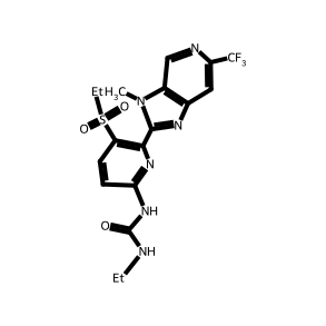 CCNC(=O)Nc1ccc(S(=O)(=O)CC)c(-c2nc3cc(C(F)(F)F)ncc3n2C)n1